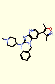 Cc1noc(C)c1-c1cnc2nc(NC3CCN(C)CC3)n(Cc3ccccc3)c2c1